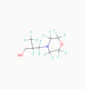 OCC(F)(C(F)(F)F)C(F)(F)N1C(F)(F)C(F)(F)OC(F)(F)C1(F)F